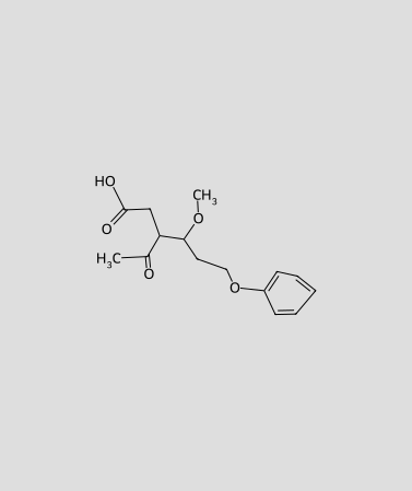 COC(CCOc1ccccc1)C(CC(=O)O)C(C)=O